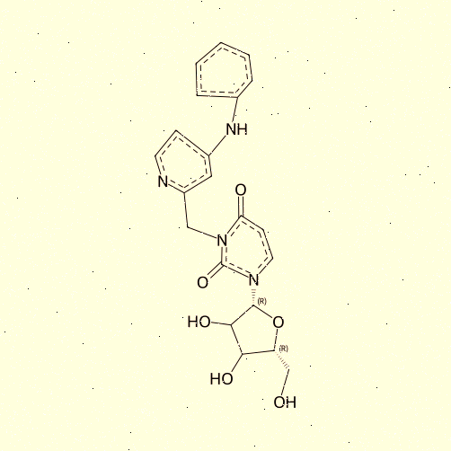 O=c1ccn([C@@H]2O[C@H](CO)C(O)C2O)c(=O)n1Cc1cc(Nc2ccccc2)ccn1